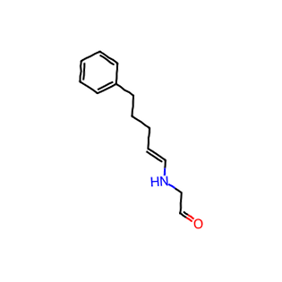 O=CCNC=CCCCc1ccccc1